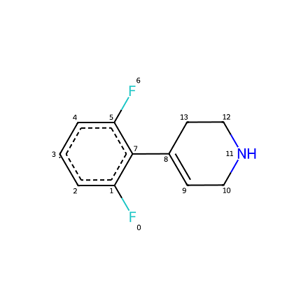 Fc1c[c]cc(F)c1C1=CCNCC1